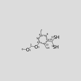 COCOc1cc(C)cc(C(S)S)c1C